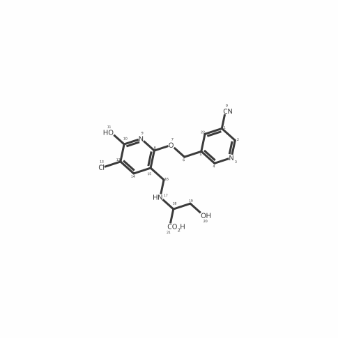 N#Cc1cncc(COc2nc(O)c(Cl)cc2CNC(CO)C(=O)O)c1